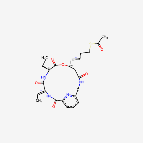 C/C=C1\NC(=O)c2cccc(n2)CNC(=O)C[C@@H](/C=C/CCSC(C)=O)OC(=O)[C@H](CC)NC1=O